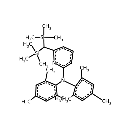 Cc1cc(C)c(N(c2cccc(C([Si](C)(C)C)[Si](C)(C)C)n2)c2c(C)cc(C)cc2C)c(C)c1